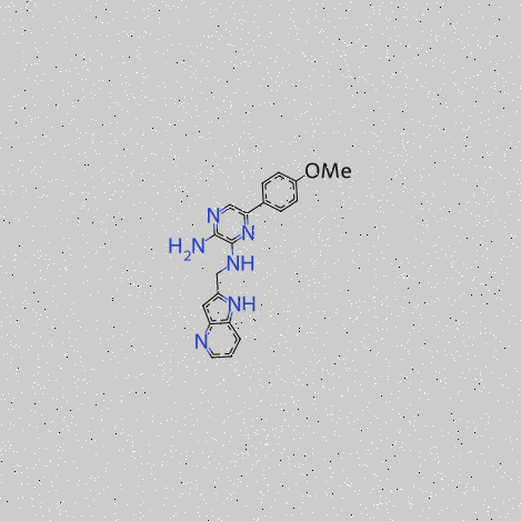 COc1ccc(-c2cnc(N)c(NCc3cc4ncccc4[nH]3)n2)cc1